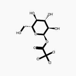 O=C(O[C@H]1O[C@H](CO)[C@@H](O)[C@H](O)[C@H]1O)C(Cl)(Cl)Cl